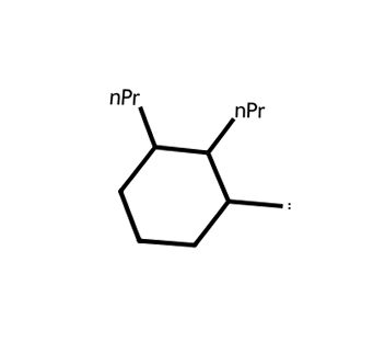 [CH]C1CCCC(CCC)C1CCC